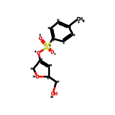 Cc1ccc(S(=O)(=O)OC2=CC(CO)OC2)cc1